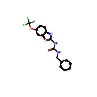 FC(F)(F)Oc1ccc2nc(NC(=S)NCc3ccccc3)sc2c1